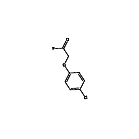 O=C(F)COc1ccc(Cl)cc1